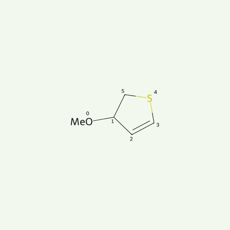 COC1C=CSC1